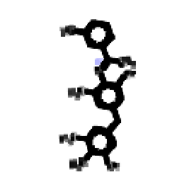 C/C(=N\c1c(C)cc(Cc2cc(C)c(N)c(C(C)C)c2)cc1C(C)C)c1cccc(O)c1